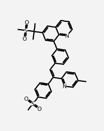 Cc1ccc(C(=Cc2cccc(-c3cc(C(C)(C)S(C)(=O)=O)cc4cccnc34)c2)c2ccc(S(C)(=O)=O)cc2)nc1